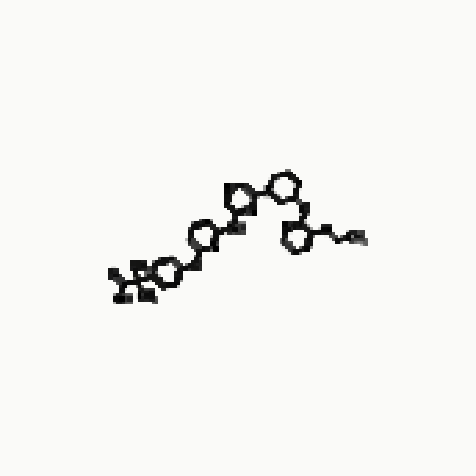 CCOc1cccnc1OC1CCCN(c2cncc(Nc3cccc(Oc4ccc(C(C)(C)C(=O)O)cc4)n3)n2)C1